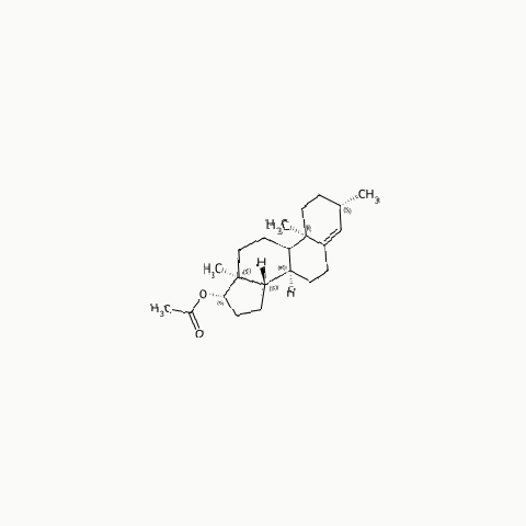 CC(=O)O[C@H]1CC[C@H]2[C@@H]3CCC4=C[C@@H](C)CC[C@]4(C)C3CC[C@]12C